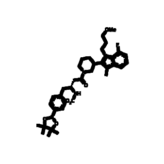 COCCCn1c(C2CCCN(C(=O)C[C@@H](Cc3ccc(B4OC(C)(C)C(C)(C)O4)cc3)NC(=O)O)C2)c(C)c2cccc(F)c21